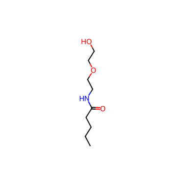 CCCCC(=O)NCCOCCO